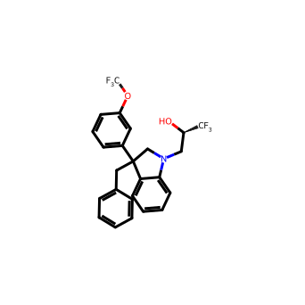 O[C@H](CN1CC(Cc2ccccc2)(c2cccc(OC(F)(F)F)c2)c2ccccc21)C(F)(F)F